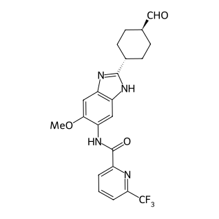 COc1cc2nc([C@H]3CC[C@H](C=O)CC3)[nH]c2cc1NC(=O)c1cccc(C(F)(F)F)n1